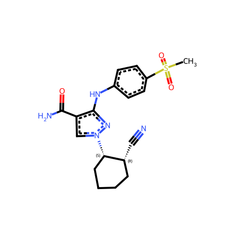 CS(=O)(=O)c1ccc(Nc2nn([C@H]3CCCC[C@H]3C#N)cc2C(N)=O)cc1